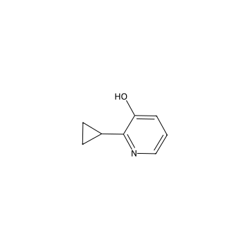 Oc1cccnc1C1CC1